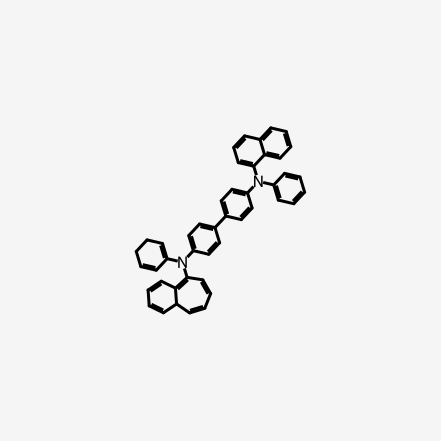 C1=CC2=C(N(C3=CCCC=C3)c3ccc(-c4ccc(N(c5ccccc5)c5cccc6ccccc56)cc4)cc3)C=CC=CC2C=C1